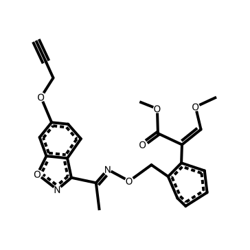 C#CCOc1ccc2c(C(C)=NOCc3ccccc3C(=COC)C(=O)OC)noc2c1